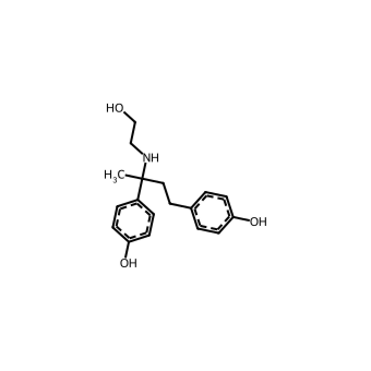 CC(CCc1ccc(O)cc1)(NCCO)c1ccc(O)cc1